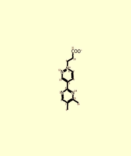 Cc1cnc(-c2cc[n+](CCC(=O)[O-])nc2)nc1C